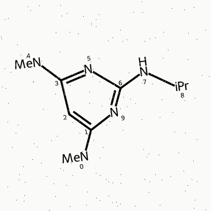 CNc1cc(NC)nc(NC(C)C)n1